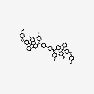 C=Cc1ccc(Oc2ccc(C3(c4cc(F)ccc4F)c4ccccc4-c4ccc(N(c5ccc(F)cc5)c5ccc(-c6ccc(N(c7ccc(F)cc7)c7ccc8c(c7)C(c7ccc(Oc9ccc(C=C)cc9)cc7)(c7cc(F)ccc7F)c7ccccc7-8)cc6)cc5)cc43)cc2)cc1